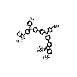 CCCCCCCCC1(CCCCCCCC)c2cc(C)ccc2-c2ccc(-c3ccc(N(c4ccc(CCCC)cc4)c4ccc(-c5ccc(N(c6ccc(CCCC)cc6)c6ccc(-c7sc(C)c8c7OCCO8)cc6)cc5)cc4)cc3)cc21